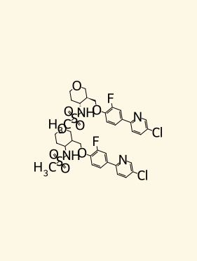 CS(=O)(=O)NC1CCOCC1COc1ccc(-c2ccc(Cl)cn2)cc1F.CS(=O)(=O)N[C@@H]1CCOC[C@H]1COc1ccc(-c2ccc(Cl)cn2)cc1F